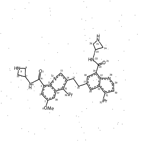 COc1cc(C(=O)NC2CNC2)c2ncc(CCc3cc(C(=O)NC4CNC4)c4nccc(C(C)C)c4c3)c(C(C)C)c2c1